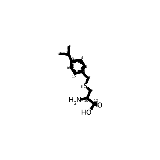 CC(C)c1ccc(CSCC(N)C(=O)O)cc1